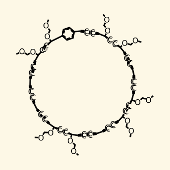 COCOC12CCC(OCOC)(CC1)c1ccc(cc1)-c1ccc(cc1)C1(OCOC)CCC(OCOC)(CC1)c1ccc(cc1)-c1ccc(cc1)C1(OCOC)CCC(OCOC)(CC1)c1ccc(cc1)-c1ccc(cc1)C1(OCOC)CCC(OCOC)(CC1)c1ccc(cc1)-c1ccc(cc1)-c1ccc2cc1